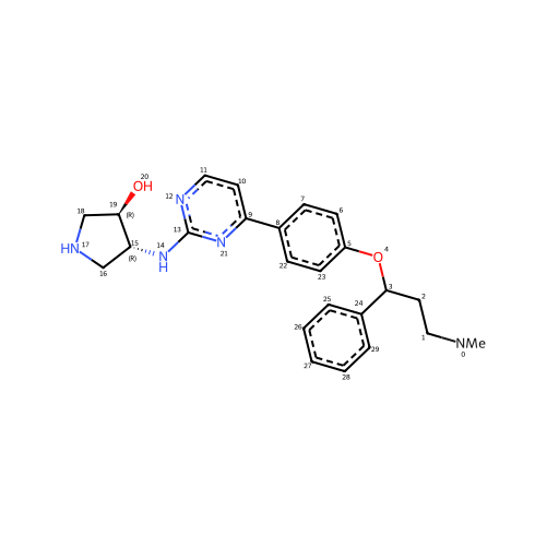 CNCCC(Oc1ccc(-c2ccnc(N[C@@H]3CNC[C@H]3O)n2)cc1)c1ccccc1